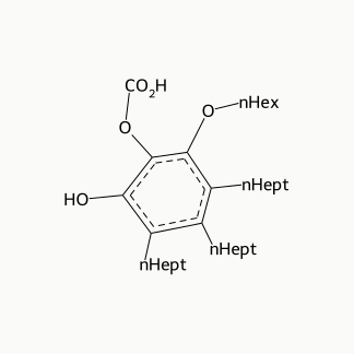 CCCCCCCc1c(O)c(OC(=O)O)c(OCCCCCC)c(CCCCCCC)c1CCCCCCC